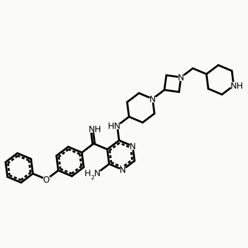 N=C(c1ccc(Oc2ccccc2)cc1)c1c(N)ncnc1NC1CCN(C2CN(CC3CCNCC3)C2)CC1